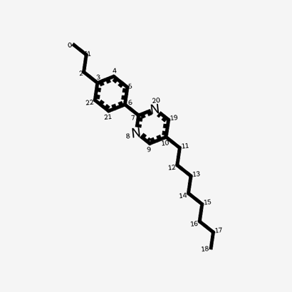 C[CH]Cc1ccc(-c2ncc(CCCCCCCC)cn2)cc1